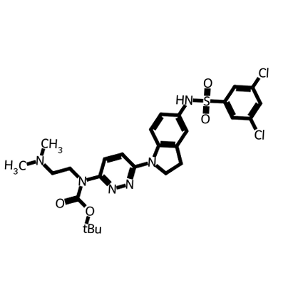 CN(C)CCN(C(=O)OC(C)(C)C)c1ccc(N2CCc3cc(NS(=O)(=O)c4cc(Cl)cc(Cl)c4)ccc32)nn1